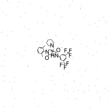 Cc1cccc(C)c1N1C[C@@](CN2CCCCC2)(C(=O)Nc2cc(C(F)(F)F)cc(C(F)(F)F)c2)[C@H](C)C1=O